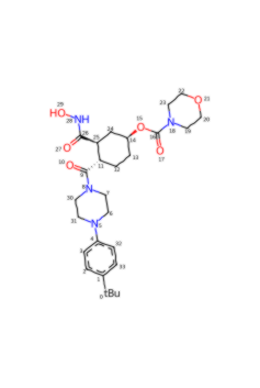 CC(C)(C)c1ccc(N2CCN(C(=O)[C@H]3CC[C@H](OC(=O)N4CCOCC4)C[C@@H]3C(=O)NO)CC2)cc1